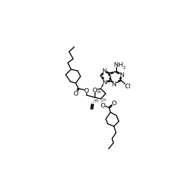 C#C[C@]1(COC(=O)C2CCC(CCCC)CC2)O[C@@H](n2cnc3c(N)nc(Cl)nc32)C[C@@H]1OC(=O)C1CCC(CCCC)CC1